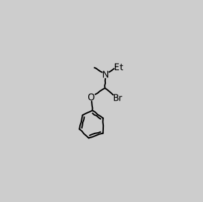 CCN(C)C(Br)Oc1ccccc1